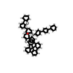 c1ccc(-c2ccc(-c3ccc(N(c4ccc(-c5cccc6c5oc5ccccc56)cc4)c4cccc(-c5cccc6c5C5(c7ccccc7-6)c6ccccc6-c6c5ccc5c6oc6ccccc65)c4)cc3)cc2)cc1